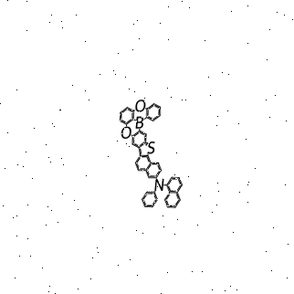 c1ccc(N(c2ccc3c(ccc4c5cc6c(cc5sc34)B3c4ccccc4Oc4cccc(c43)O6)c2)c2cccc3ccccc23)cc1